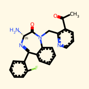 CC(=O)c1cccnc1CN1C(=O)[C@@H](N)N=C(c2ccccc2F)c2ccccc21